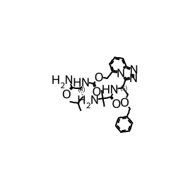 CC(C)C[C@@H](NC(=O)OCc1cccc2nnc([C@@H](COCc3ccccc3)NC(=O)C(C)(C)N)n12)C(N)=O